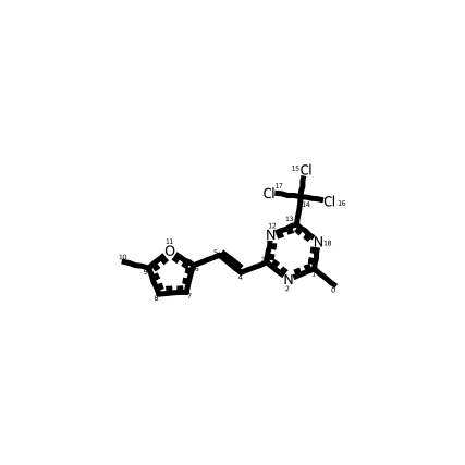 Cc1nc(/C=C/c2ccc(C)o2)nc(C(Cl)(Cl)Cl)n1